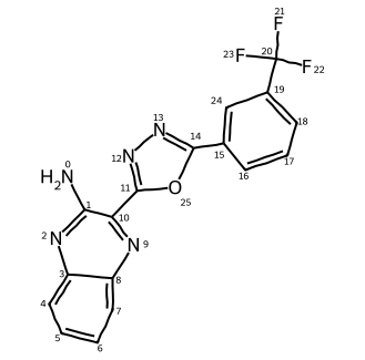 Nc1nc2ccccc2nc1-c1nnc(-c2cccc(C(F)(F)F)c2)o1